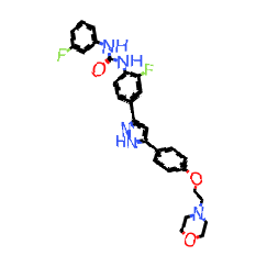 O=C(Nc1cccc(F)c1)Nc1ccc(-c2cc(-c3ccc(OCCN4CCOCC4)cc3)[nH]n2)cc1F